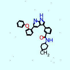 C=C1CCC(NC(=O)c2cccc(-c3c[nH]c4ncc(-c5ccccc5Oc5ccccc5)cc34)c2)CC1